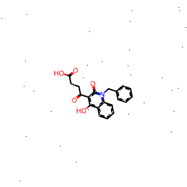 O=C(O)CCC(=O)c1c(O)c2ccccc2n(Cc2ccccc2)c1=O